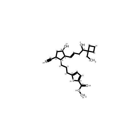 CCC1(C(O)C/C=C/C2[C@@H](CCCc3ccc(C(=O)OC)s3)C(C#N)C[C@H]2O)CCC1